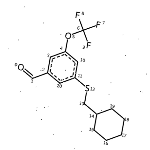 O=Cc1cc(OC(F)(F)F)cc(SCC2CCCCC2)c1